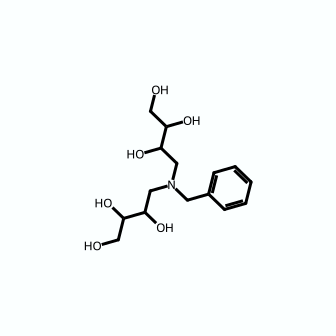 OCC(O)C(O)CN(Cc1ccccc1)CC(O)C(O)CO